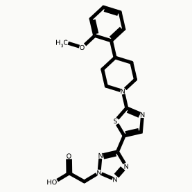 COc1ccccc1C1CCN(c2ncc(-c3nnn(CC(=O)O)n3)s2)CC1